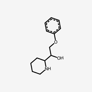 OC(COc1ccccc1)C1CCCCN1